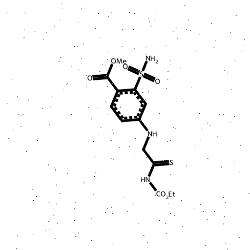 CCOC(=O)NC(=S)CNc1ccc(C(=O)OC)c(S(N)(=O)=O)c1